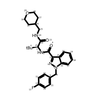 CC(C)(C)[C@H](NC(=O)c1nn(Cc2ccc(F)cc2)c2ccccc12)C(=O)NCC1CCOCC1